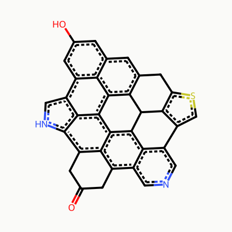 O=C1Cc2c3cncc4c3c3c5c2c(c2[nH]cc6c7cc(O)cc8cc9c(c(c87)c5c26)C3c2c-4csc2C9)C1